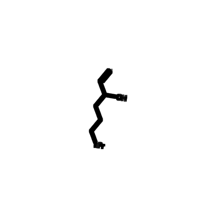 [CH]=CC(O)CCCCCC